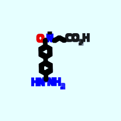 CN(CCCC(=O)O)C(=O)c1ccc(-c2ccc(C(=N)N)cc2)cc1